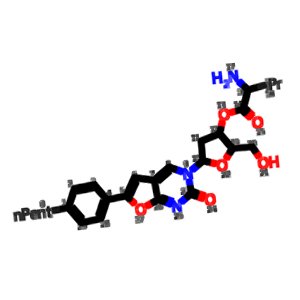 CCCCCc1ccc(-c2cc3cn(C4CC(OC(=O)C(N)C(C)C)C(CO)O4)c(=O)nc3o2)cc1